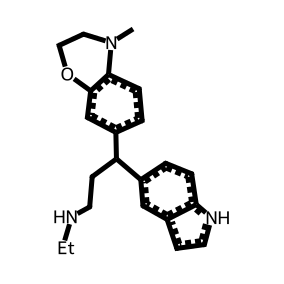 CCNCCC(c1ccc2c(c1)OCCN2C)c1ccc2[nH]ccc2c1